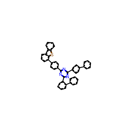 c1ccc(-c2ccc(-c3nc(-c4ccc(-c5cccc6c5sc5ccccc56)cc4)nc(-c4ccccc4-c4ccccc4)n3)cc2)cc1